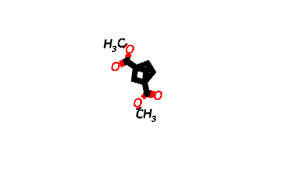 COC(=O)C12CCC(C(=O)OC)(C1)C2